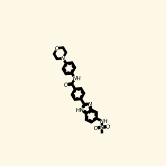 CS(=O)(=O)Nc1ccc2[nH]c(-c3ccc(C(=O)Nc4ccc(N5CCOCC5)cc4)cc3)nc2c1